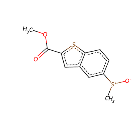 COC(=O)c1cc2cc([S+](C)[O-])ccc2s1